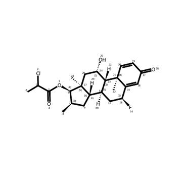 CC(Cl)C(=O)O[C@@H]1[C@H](C)C[C@H]2[C@@H]3C[C@H](F)C4=CC(=O)C=C[C@]4(C)[C@H]3[C@@H](O)C[C@]12C